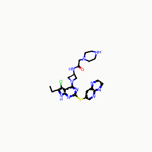 CCc1[nH]c2nc(Sc3cnc4nccnc4c3)nc(N3CC(NC(=O)CN4CCNCC4)C3)c2c1Cl